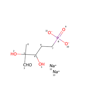 CC(O)(C=O)C(O)CCP(=O)([O-])[O-].[Na+].[Na+]